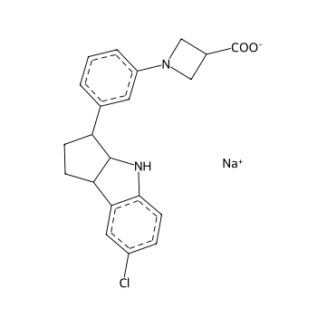 O=C([O-])C1CN(c2cccc(C3CCC4c5cc(Cl)ccc5NC34)c2)C1.[Na+]